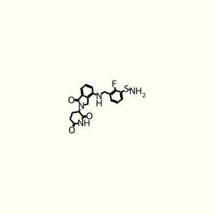 NSc1cccc(CNc2cccc3c2CN(C2CCC(=O)NC2=O)C3=O)c1F